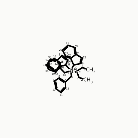 CC[SiH](CC)[Zr]([CH2]c1ccccc1)([CH2]c1ccccc1)([CH]1C=Cc2ccccc21)[CH]1C=Cc2ccccc21